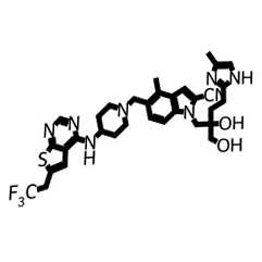 Cc1c[nH]c(CCC(O)(CO)Cn2c(C#N)cc3c(C)c(CN4CCC(Nc5ncnc6sc(CC(F)(F)F)cc56)CC4)ccc32)n1